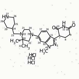 Cl.Cl.Cl.Cn1nc(C2CCC(=O)NC2=O)c2ccc(N3CCN(CC4CCNCC4)C(C)(C)C3)cc21